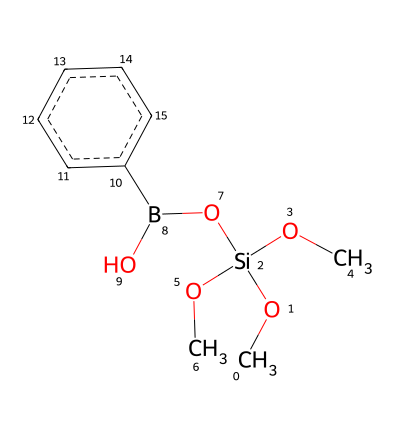 CO[Si](OC)(OC)OB(O)c1ccccc1